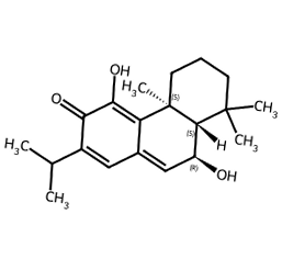 CC(C)C1=CC2=C[C@H](O)[C@H]3C(C)(C)CCC[C@]3(C)C2=C(O)C1=O